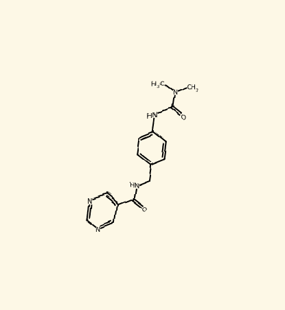 CN(C)C(=O)Nc1ccc(CNC(=O)c2cncnc2)cc1